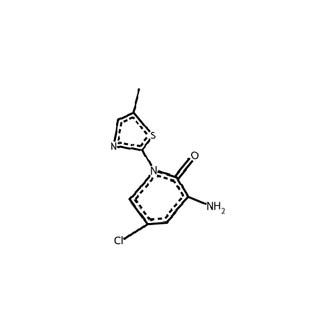 Cc1cnc(-n2cc(Cl)cc(N)c2=O)s1